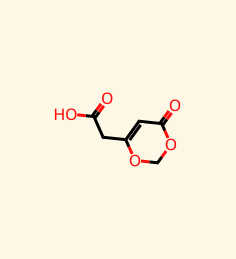 O=C(O)CC1=CC(=O)OCO1